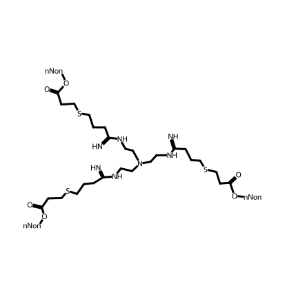 CCCCCCCCCOC(=O)CCSCCCC(=N)NCCN(CCNC(=N)CCCSCCC(=O)OCCCCCCCCC)CCNC(=N)CCCSCCC(=O)OCCCCCCCCC